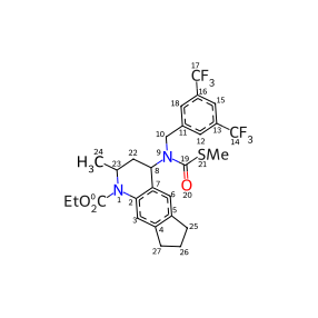 CCOC(=O)N1c2cc3c(cc2C(N(Cc2cc(C(F)(F)F)cc(C(F)(F)F)c2)C(=O)SC)CC1C)CCC3